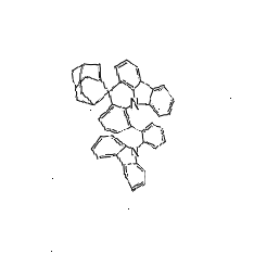 c1ccc(-n2c3ccccc3c3ccccc32)c(-c2cccc3c2-n2c4ccccc4c4cccc(c42)C32C3CC4CC(C3)CC2C4)c1